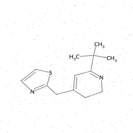 CC(C)(C)C1=NCCC(Cc2nccs2)=C1